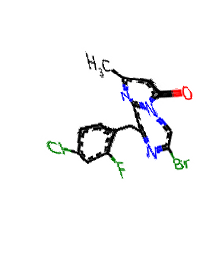 Cc1cc(=O)n2cc(Br)nc(-c3ccc(Cl)cc3F)c2n1